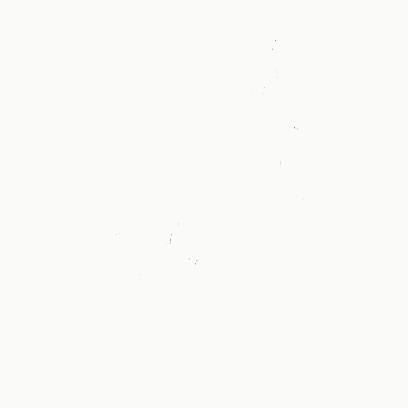 O=C(Nc1ccc(Oc2ccc3nc(NC(=O)C4CC4)cn3c2)c(F)c1)c1cccn(-c2ccc(F)cc2)c1=O